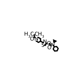 CC(C)C(=O)N1CCC(c2nc(OC(=O)N(C3CCCCC3)C3CC3)cs2)CC1